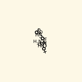 COc1ccccc1C(=O)NCc1cc(F)c(-c2nn3c(c2C(N)=O)Nc2ccc(C(C)(C)C)cc2CC3)cc1C